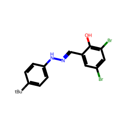 CC(C)(C)c1ccc(N/N=C/c2cc(Br)cc(Br)c2O)cc1